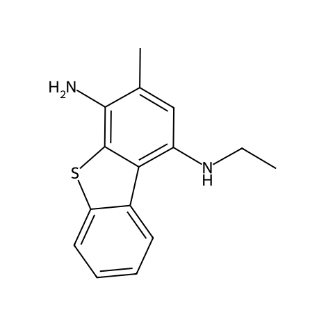 CCNc1cc(C)c(N)c2sc3ccccc3c12